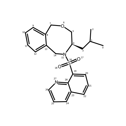 CC(C)C[C@@H]1COCc2ccccc2CN1S(=O)(=O)c1cccc2cccnc12